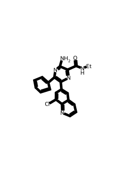 CCNC(=O)c1nc(-c2cc(Cl)c3ncccc3c2)c(-c2ccccc2)nc1N